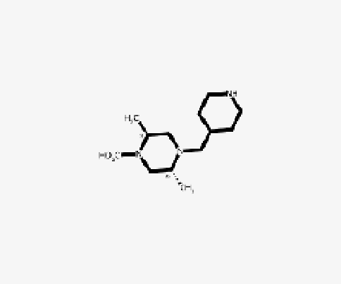 C[C@@H]1CN(C(=O)O)[C@@H](C)CN1CC1CCNCC1